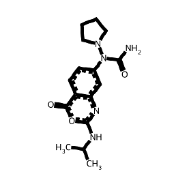 CC(C)Nc1nc2cc(N(C(N)=O)N3CCCC3)ccc2c(=O)o1